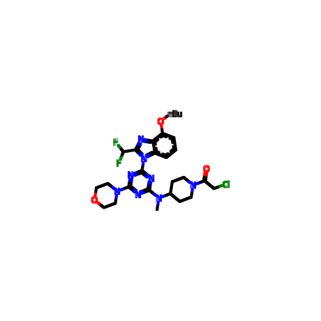 CCCCOc1cccc2c1nc(C(F)F)n2-c1nc(N2CCOCC2)nc(N(C)C2CCN(C(=O)CCl)CC2)n1